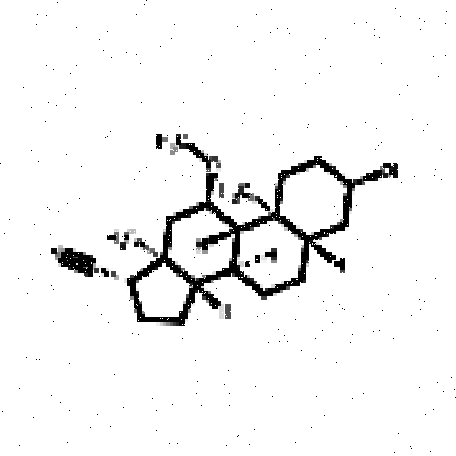 CO[C@@H]1C[C@]2(C)[C@@H](C#N)CC[C@H]2[C@@H]2CC[C@H]3C[C@H](O)CC[C@]3(C)[C@H]21